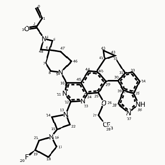 C=CC(=O)N1CC2(CCN(c3nc(N4CC(N5CC[C@@H](F)C5)C4)nc4c(OCC(F)(F)F)c(-c5c(C)ccc6[nH]ncc56)c(C5CC5)cc34)CC2)C1